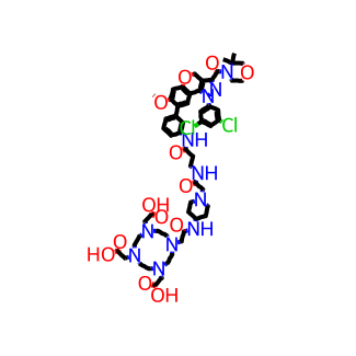 COc1cc2c(cc1-c1cccc(NC(=O)CCNC(=O)CN3CCC(NC(=O)CN4CCN(CC(=O)O)CCN(CC(=O)O)CCN(CC(=O)O)CC4)CC3)c1)-c1c(c(C(=O)N3CCOCC3(C)C)nn1-c1cc(Cl)cc(Cl)c1)CO2